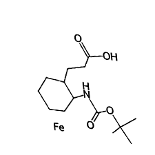 CC(C)(C)OC(=O)NC1CCCCC1CCC(=O)O.[Fe]